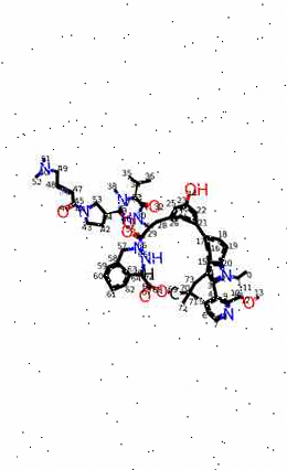 CCn1c(-c2cccnc2[C@H](C)OC)c2c3cc(ccc31)-c1cc(O)cc(c1)C[C@H](NC(=O)[C@H](C(C)C)N(C)C(=O)[C@H]1CCN(C(=O)/C=C/CN(C)C)C1)C(=O)N1Cc3ccccc3[C@H](N1)C(=O)OCC(C)(C)C2